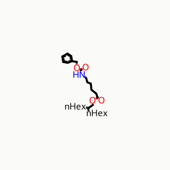 CCCCCCC(CCCCCC)COC(=O)CCCCCNC(=O)OCc1ccccc1